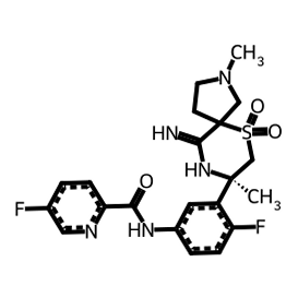 CN1CCC2(C1)C(=N)N[C@](C)(c1cc(NC(=O)c3ccc(F)cn3)ccc1F)CS2(=O)=O